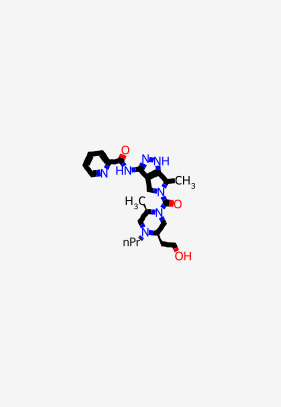 CCCN1C[C@H](C)N(C(=O)N2Cc3c(NC(=O)c4ccccn4)n[nH]c3C2C)C[C@H]1CCO